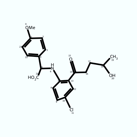 COc1ccc(C(Nc2ccc(Cl)cc2C(=O)CCC(C)O)C(=O)O)cc1